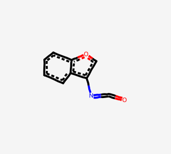 O=C=Nc1coc2ccccc12